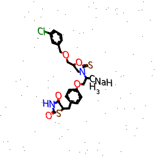 CC(COc1ccc(CC2SC(=O)NC2=O)cc1)N1CC(COCc2cccc(Cl)c2)OC1=S.[NaH]